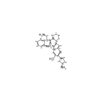 Cc1cn2nc([C@@H]3CCCCN3C(=O)C(CN)c3ccccc3N)cc2nc1N1CCC(N)C1